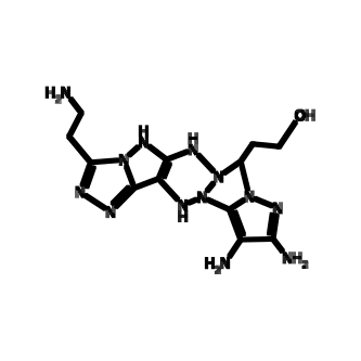 NCCc1nnc2c3[nH]n4n([nH]c3[nH]n12)C(CCO)n1nc(N)c(N)c1-4